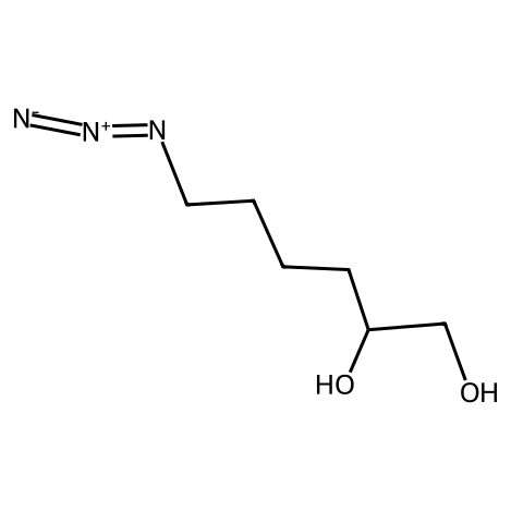 [N-]=[N+]=NCCCCC(O)CO